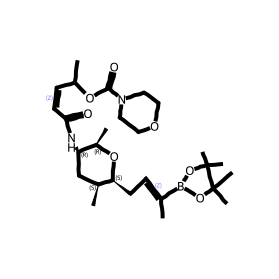 C/C(=C\C[C@@H]1O[C@H](C)[C@H](NC(=O)/C=C\C(C)OC(=O)N2CCOCC2)C[C@@H]1C)B1OC(C)(C)C(C)(C)O1